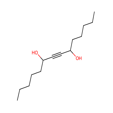 CCCCCC(O)C#CC(O)CCCCC